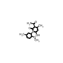 COc1ccc(C)cc1-n1c(O)cc(C)c(C(N)=O)c1=O